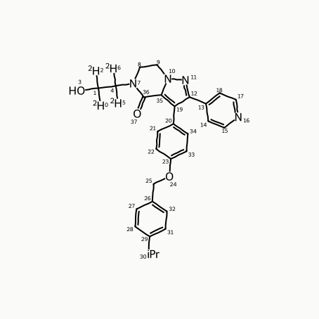 [2H]C([2H])(O)C([2H])([2H])N1CCn2nc(-c3ccncc3)c(-c3ccc(OCc4ccc(C(C)C)cc4)cc3)c2C1=O